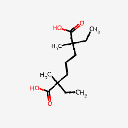 CCC(C)(CCCC(C)(CC)C(=O)O)C(=O)O